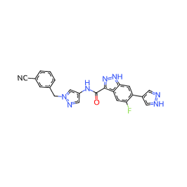 N#Cc1cccc(Cn2cc(NC(=O)c3n[nH]c4cc(-c5cn[nH]c5)c(F)cc34)cn2)c1